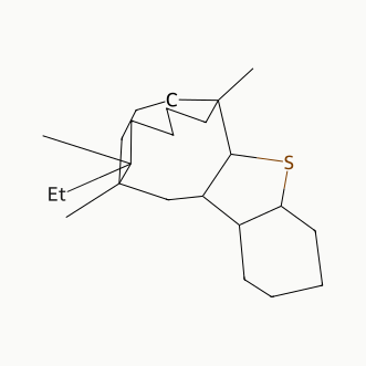 CCC1(C)CCCCC2(C)CCCC1(C)CC1C3CCCCC3SC12